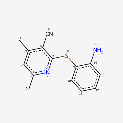 Cc1cc(C)c(C#N)c(Sc2ccccc2N)n1